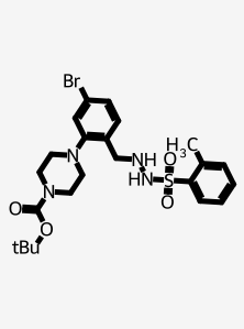 Cc1ccccc1S(=O)(=O)NNCc1ccc(Br)cc1N1CCN(C(=O)OC(C)(C)C)CC1